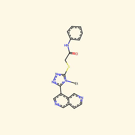 CCn1c(SCC(=O)Nc2ccccc2)nnc1-c1cncc2ccncc12